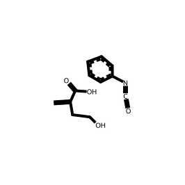 C=C(CCO)C(=O)O.O=C=Nc1ccccc1